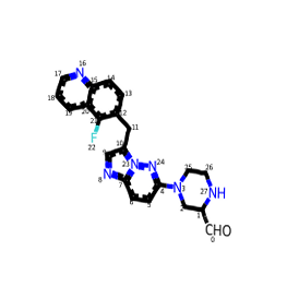 O=CC1CN(c2ccc3ncc(Cc4ccc5ncccc5c4F)n3n2)CCN1